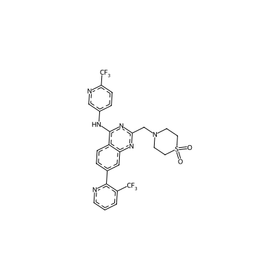 O=S1(=O)CCN(Cc2nc(Nc3ccc(C(F)(F)F)nc3)c3ccc(-c4ncccc4C(F)(F)F)cc3n2)CC1